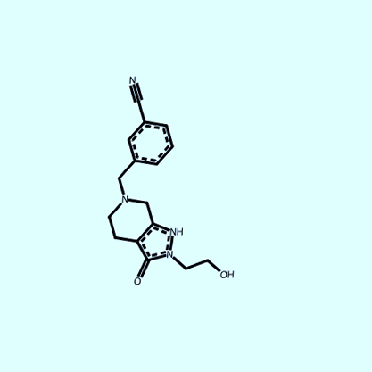 N#Cc1cccc(CN2CCc3c([nH]n(CCO)c3=O)C2)c1